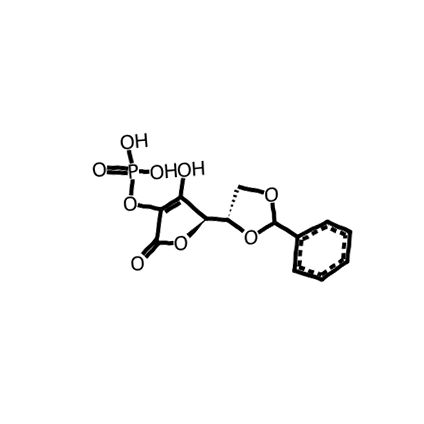 O=C1O[C@H]([C@@H]2COC(c3ccccc3)O2)C(O)=C1OP(=O)(O)O